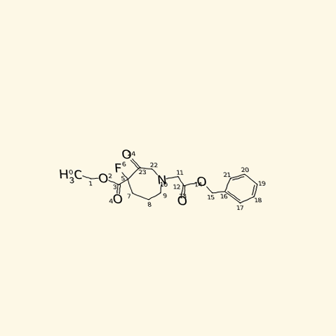 CCOC(=O)C1(F)CCCN(CC(=O)OCc2ccccc2)CC1=O